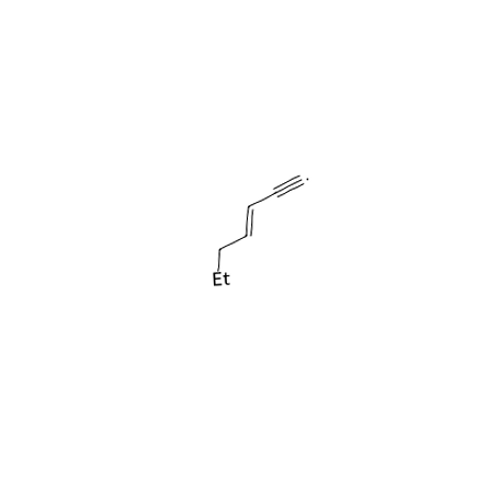 [C]#CC=CCCC